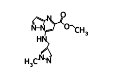 CCOC(=O)c1cc(NCc2cnn(C)c2)n2nccc2n1